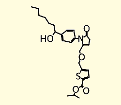 CCCCCCC(O)c1ccc(N2C(=O)CCC2COCc2ccc(C(=O)OC(C)C)s2)cc1